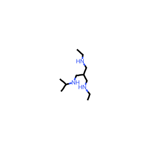 CCNCC(CNCC)CNC(C)C